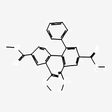 COC(=O)c1ccc(-c2c(C(=O)OC)cc(C(=O)OC)cc2-c2ccccc2)c(C(=O)OC)c1